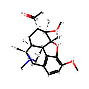 COc1ccc2c3c1O[C@H]1[C@](C)(OC)[C@@H](C(C)=O)C[C@]4(C)[C@@H](C2)N(C)CC[C@]314